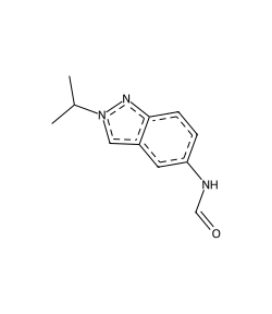 CC(C)n1cc2cc(NC=O)ccc2n1